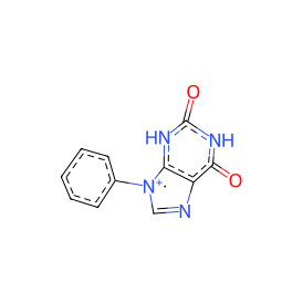 O=c1[nH]c2c(c(=O)[nH]1)N=C[N+]2c1ccccc1